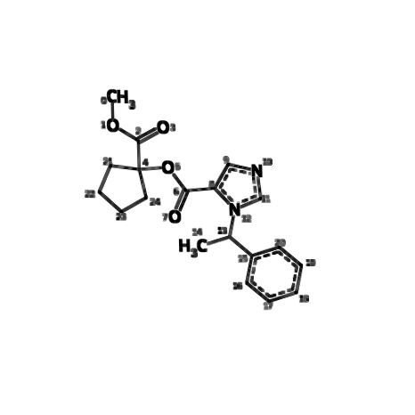 COC(=O)C1(OC(=O)c2cncn2C(C)c2ccccc2)CCCC1